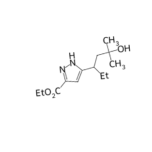 CCOC(=O)c1cc(C(CC)CC(C)(C)O)[nH]n1